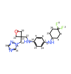 FC1(F)CCC(Nc2ccc(NCC3(Cn4cncn4)COC3)cc2)CC1